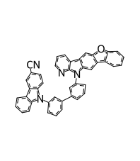 N#Cc1ccc2c(c1)c1ccccc1n2-c1cccc(-c2cccc(-n3c4cc5c(cc4c4cccnc43)oc3ccccc35)c2)c1